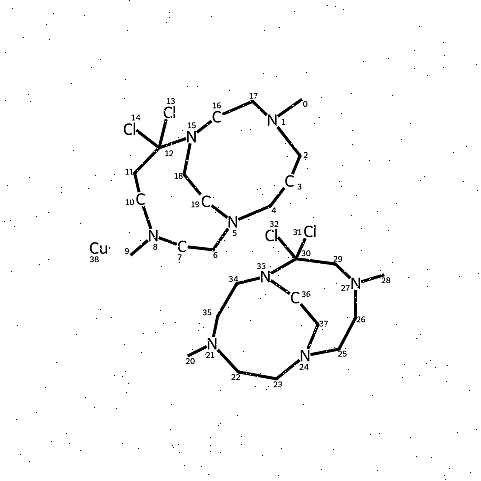 CN1CCCN2CCN(C)CCC(Cl)(Cl)N(CC1)CC2.CN1CCN2CCN(C)CC(Cl)(Cl)N(CC1)CC2.[Cu]